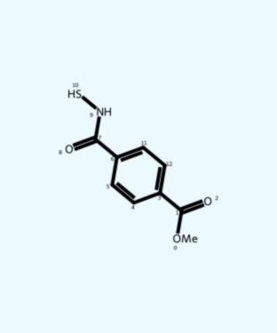 COC(=O)c1ccc(C(=O)NS)cc1